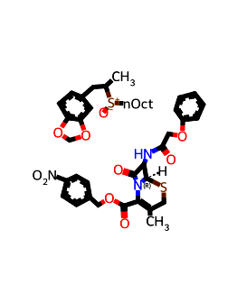 CC1=C(C(=O)OCc2ccc([N+](=O)[O-])cc2)N2C(=O)C(NC(=O)COc3ccccc3)[C@H]2SC1.CCCCCCCC[S+]([O-])C(C)Cc1ccc2c(c1)OCO2